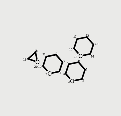 C1CCOCC1.C1CCOCC1.C1CCOCC1.C1CO1